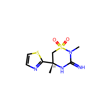 CN1C(=N)N[C@](C)(c2nccs2)CS1(=O)=O